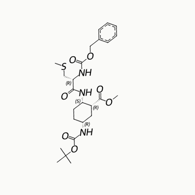 COC(=O)[C@@H]1C[C@H](NC(=O)OC(C)(C)C)CC[C@@H]1NC(=O)[C@H](CSC)NC(=O)OCc1ccccc1